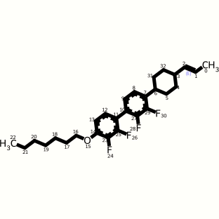 C/C=C/C1CCC(c2ccc(-c3ccc(OCCCCCCC)c(F)c3F)c(F)c2F)CC1